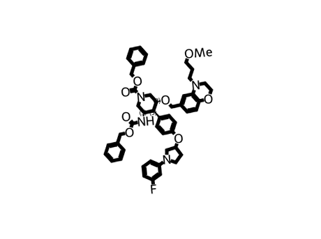 COCCCN1CCOc2ccc(CO[C@H]3CN(C(=O)OCc4ccccc4)C[C@@H](NC(=O)OCc4ccccc4)[C@@H]3c3ccc(OC4CCN(c5cccc(F)c5)C4)cc3)cc21